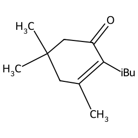 CCC(C)C1=C(C)CC(C)(C)CC1=O